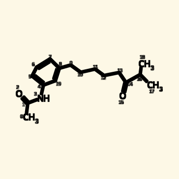 CC(=O)Nc1cccc(CCCCCC(=O)C(C)C)c1